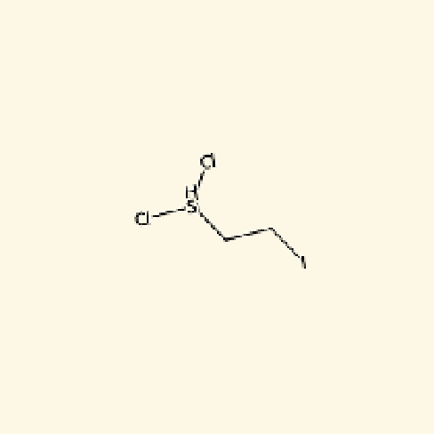 Cl[SiH](Cl)CCI